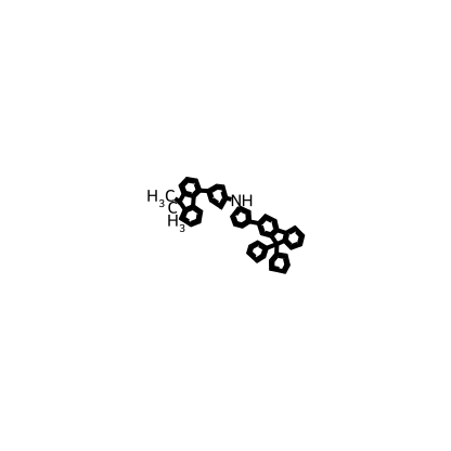 CC1(C)c2ccccc2-c2c(-c3ccc(Nc4cccc(-c5ccc6c(c5)C(c5ccccc5)(c5ccccc5)c5ccccc5-6)c4)cc3)cccc21